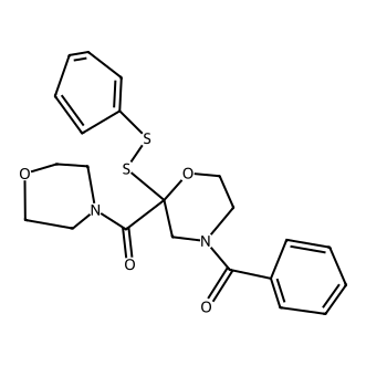 O=C(c1ccccc1)N1CCOC(SSc2ccccc2)(C(=O)N2CCOCC2)C1